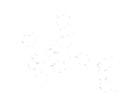 CC1(C)c2ccccc2-c2ccc(N(c3ccc(-c4cccc5c4sc4ccccc45)cc3)c3ccc4c(c3)C3(c5ccccc5-4)c4ccccc4N(c4ccccc4)c4ccccc43)cc21